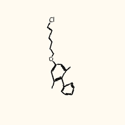 Cc1cc(OCCCCCCCl)cc(C)c1-c1ccccc1